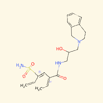 C=C/C(=C\C(=C/C)C(=O)NCC(O)CN1CCc2ccccc2C1)S(N)(=O)=O